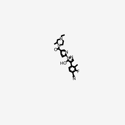 CCN1CCN(C(=O)c2ccc(-n3ncc(-c4ccc(C#N)c(F)c4C)c3O)nc2)C(C)C1